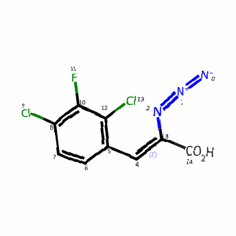 [N-]=[N+]=N/C(=C\c1ccc(Cl)c(F)c1Cl)C(=O)O